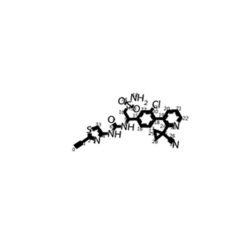 C#Cc1nc(NC(=O)NC(CS(N)(=O)=O)c2ccc(-c3cccnc3C3(C#N)CC3)c(Cl)c2)cs1